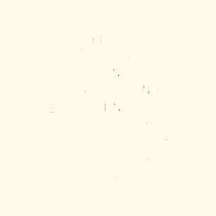 CCc1ccc(Cl)c(N(C)C(=N)Nc2cccc3ccccc23)c1